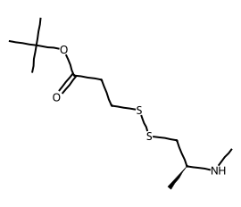 CN[C@@H](C)CSSCCC(=O)OC(C)(C)C